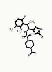 Cc1ccc(F)c([C@@H](C)[C@H](NS(=O)(=O)N2CCC(C(F)F)CC2)c2n[nH]c(=O)o2)c1C